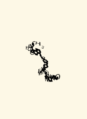 C=C1CCC(c2coc3ccc4c(C#CCOC5CCN(CC6CCC(n7cc(NC(=O)C8C=NN9CCC(N%10CC%11OCC%11%10)=NC89)c(C(F)F)n7)CC6)CC5)cccc4c23)C(=O)N1